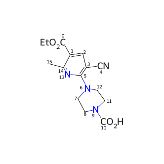 CCOC(=O)c1cc(C#N)c(N2CCN(C(=O)O)CC2)nc1C